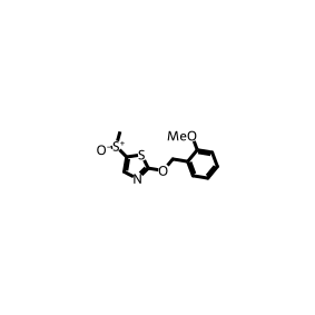 COc1ccccc1COc1ncc([S+](C)[O-])s1